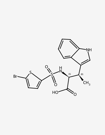 C[C@H](c1c[nH]c2ccccc12)[C@H](NS(=O)(=O)c1ccc(Br)s1)C(=O)O